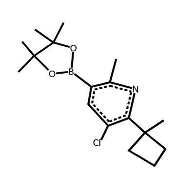 Cc1nc(C2(C)CCC2)c(Cl)cc1B1OC(C)(C)C(C)(C)O1